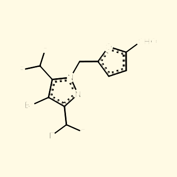 O=Cc1ccc(Cn2nc(C(F)F)c(Br)c2C(F)F)o1